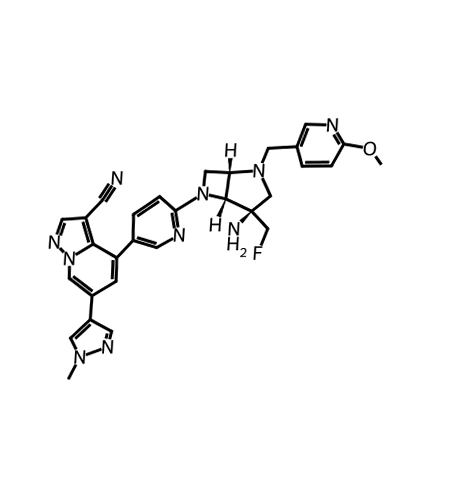 COc1ccc(CN2C[C@](N)(CF)[C@H]3[C@@H]2CN3c2ccc(-c3cc(-c4cnn(C)c4)cn4ncc(C#N)c34)cn2)cn1